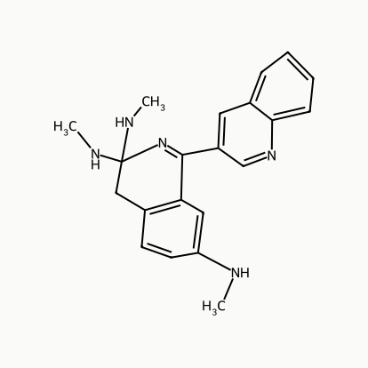 CNc1ccc2c(c1)C(c1cnc3ccccc3c1)=NC(NC)(NC)C2